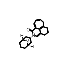 CN1[C@@H]2CCC[C@H]1C[C@H](n1cc3c4c(c1=O)=CC=CCC=4CCC3)C2